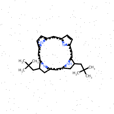 CC(C)(C)CC1Cc2cc3[nH]c(cc4nc(cc5ccc(cc1n2)[nH]5)C=C4)C(CC(C)(C)C)C3